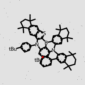 CC(C)(C)c1ccc(N2c3cc(C(C)(C)C)cc4c3B(c3cc5c(cc3N4c3cc4c(cc3-c3ccccc3)C(C)(C)CCC4(C)C)C(C)(C)CCC5(C)C)c3sc4cc5c(cc4c32)C(C)(C)CCC5(C)C)cc1